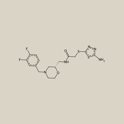 Nc1nnc(SCC(=O)NC[C@H]2CN(Cc3ccc(F)c(F)c3)CCO2)s1